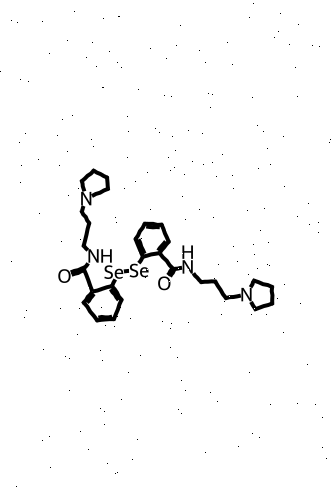 O=C(NCCCN1CCCC1)c1ccccc1[Se][Se]c1ccccc1C(=O)NCCCN1CCCC1